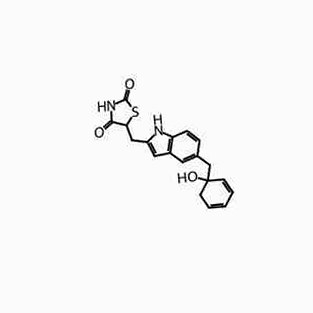 O=C1NC(=O)C(Cc2cc3cc(CC4(O)C=CC=CC4)ccc3[nH]2)S1